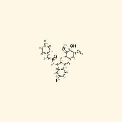 COc1cc(C=C2C(C)=C(CC(=O)Nc3ccc(C)cc3)c3cc(F)ccc32)cc(OC)c1O